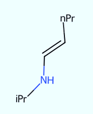 CCCC=CNC(C)C